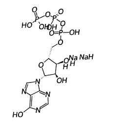 O=P(O)(O)OP(=O)(O)OP(=O)(O)OC[C@H]1O[C@@H](n2cnc3c(O)ncnc32)[C@H](O)[C@@H]1O.[NaH].[NaH]